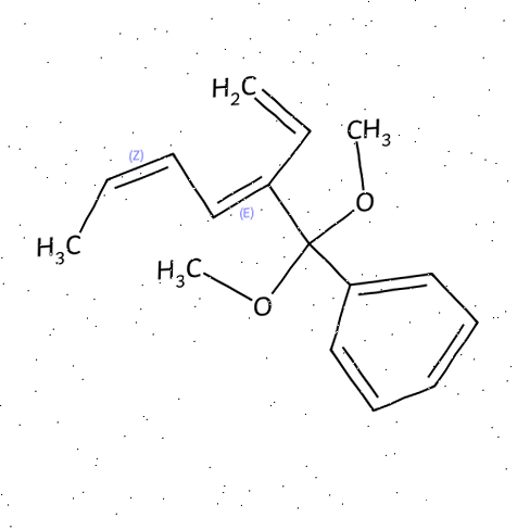 C=C/C(=C\C=C/C)C(OC)(OC)c1ccccc1